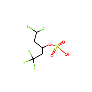 O=S(=O)(O)OC(CC(F)F)CC(F)(F)F